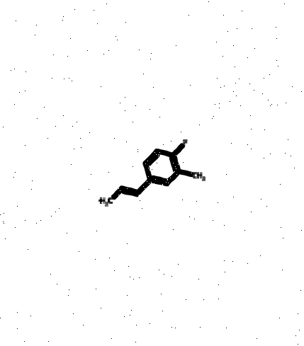 [CH2]C=Cc1ccc(F)c(C)c1